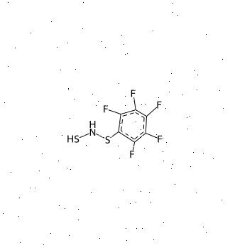 Fc1c(F)c(F)c(SNS)c(F)c1F